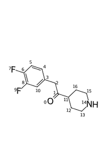 O=C(Cc1ccc(F)c(F)c1)C1CCNCC1